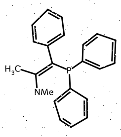 CNC(C)=C(c1ccccc1)P(c1ccccc1)c1ccccc1